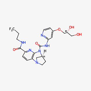 O=C(NCCC(F)(F)F)c1ccc2c(n1)N(C(=O)Nc1cc(OC[C@H](O)CO)ccn1)[C@H]1CCN2C1